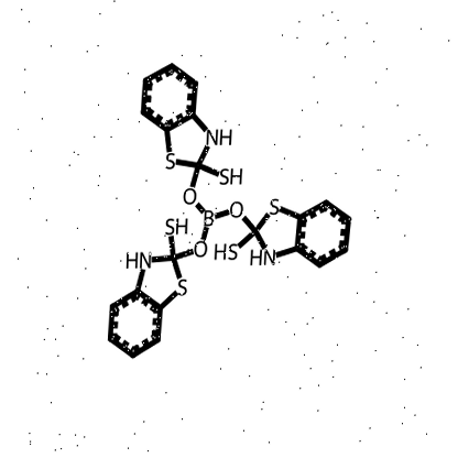 SC1(OB(OC2(S)Nc3ccccc3S2)OC2(S)Nc3ccccc3S2)Nc2ccccc2S1